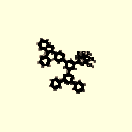 CC1(C)BB(c2cc(-c3ccc(-c4nc5ccccn5c4-c4ccccc4)cc3)cc(-c3nc(-c4ccccc4)nc(-c4ccccc4)n3)c2)OC1(C)C